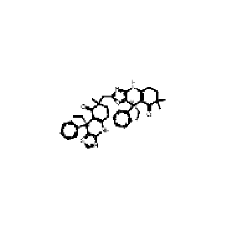 CC[C@@]1(c2ccccc2)C2=C(CCC(C)(Cc3nc4c(s3)[C@@](CC)(c3ccccc3)C3=C(CCC(C)(C)C3=O)N4)C2=O)Nc2ncsc21